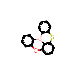 c1ccc2c(c1)Oc1cccc3c1B2c1ccccc1S3